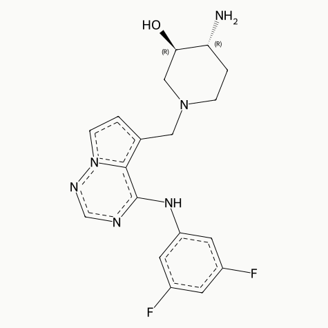 N[C@@H]1CCN(Cc2ccn3ncnc(Nc4cc(F)cc(F)c4)c23)C[C@H]1O